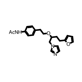 CC(=O)Nc1ccc(CCOC(CCc2ccco2)Cn2ccnc2)cc1